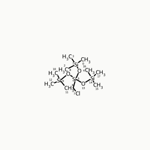 C[Si](C)(C)O[Si](CCl)(O[Si](C)(C)C)O[Si](C)(C)C